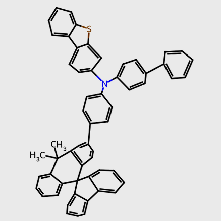 CC1(C)c2ccccc2C2(c3ccccc3-c3ccccc32)c2ccc(-c3ccc(N(c4ccc(-c5ccccc5)cc4)c4ccc5c(c4)sc4ccccc45)cc3)cc21